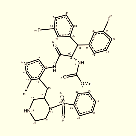 COC(=O)N[C@H](C(=O)Nc1cncc(F)c1CC1CNCCN1S(=O)(=O)c1ccccc1)C(c1cccc(F)c1)c1cccc(F)c1